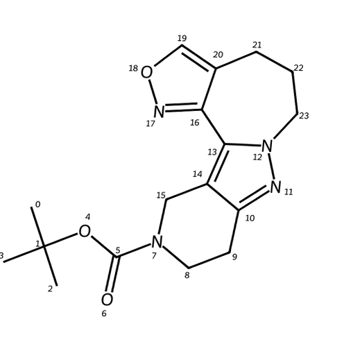 CC(C)(C)OC(=O)N1CCc2nn3c(c2C1)-c1nocc1CCC3